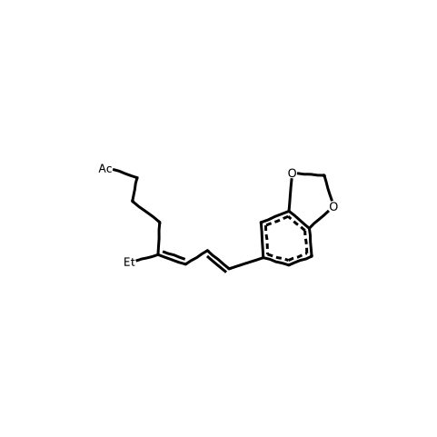 CCC(=CC=Cc1ccc2c(c1)OCO2)CCCC(C)=O